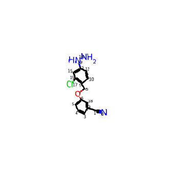 N#Cc1cccc(OCc2ccc(NN)cc2Cl)c1